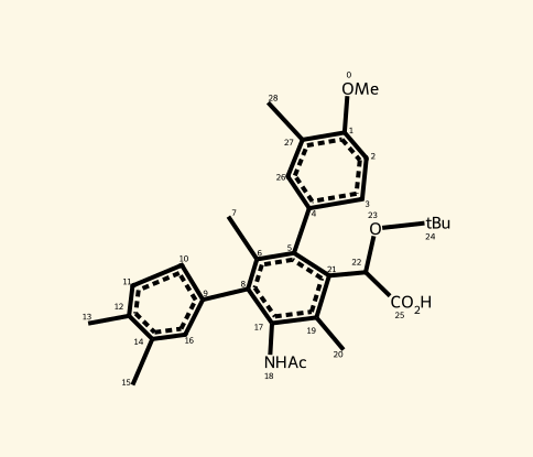 COc1ccc(-c2c(C)c(-c3ccc(C)c(C)c3)c(NC(C)=O)c(C)c2C(OC(C)(C)C)C(=O)O)cc1C